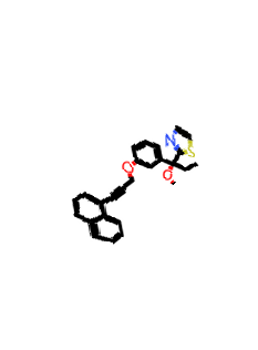 CCC(OC)(c1cccc(OCC#Cc2cccc3ccccc23)c1)c1nccs1